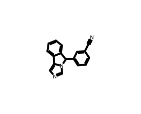 N#Cc1cccc(C2c3ccccc3-c3cncn32)c1